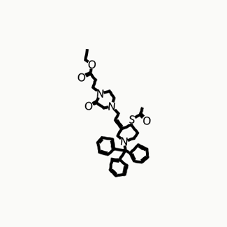 CCOC(=O)CCN1CCN(CC=C2CN(C(c3ccccc3)(c3ccccc3)c3ccccc3)CCC2SC(C)=O)CC1=O